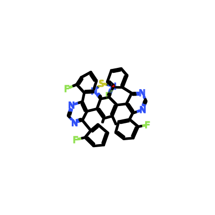 Cc1c(C)c(-c2c(-c3ccccc3F)ncnc2-c2ccccc2F)c2nsnc2c1-c1c(-c2ccccc2F)ncnc1-c1ccccc1F